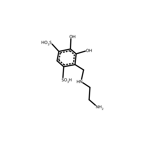 NCCNCc1c(S(=O)(=O)O)cc(S(=O)(=O)O)c(O)c1O